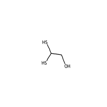 OCC(S)S